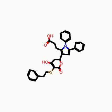 O=C(O)CCc1c(C2CC(O)=C(SCCc3ccccc3)C(=O)O2)cc(-c2ccccc2)n1-c1ccccc1